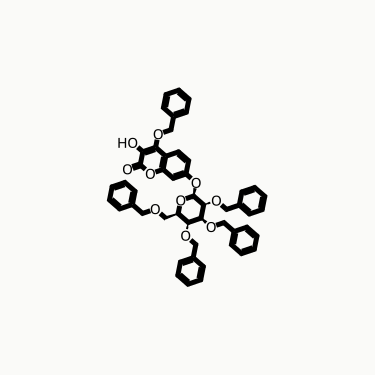 O=c1oc2cc(O[C@@H]3O[C@H](COCc4ccccc4)[C@@H](OCc4ccccc4)[C@H](OCc4ccccc4)[C@H]3OCc3ccccc3)ccc2c(OCc2ccccc2)c1O